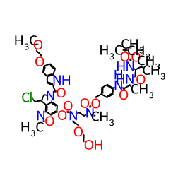 COCCOc1ccc2[nH]c(C(=O)N3CC(CCl)c4c3cc(OC(=O)N(CCOCCO)CCN(C)C(=O)OCc3ccc(NC(=O)[C@H](C)NC(=O)[C@@H](NC(=O)OC(C)(C)C)C(C)C)cc3)c3oc(C)nc43)cc2c1